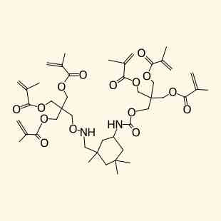 C=C(C)C(=O)OCC(CONCC1(C)CC(NC(=O)OCC(COC(=O)C(=C)C)(COC(=O)C(=C)C)COC(=O)C(=C)C)CC(C)(C)C1)(COC(=O)C(=C)C)COC(=O)C(=C)C